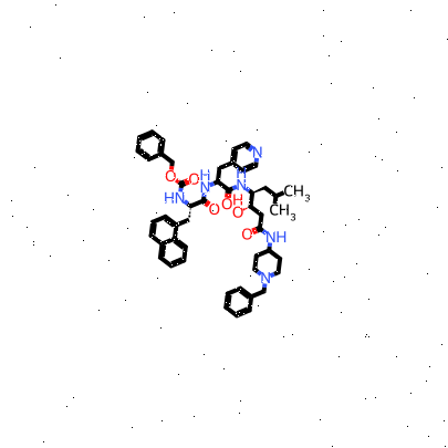 CC(C)C[C@H](NC(=O)C(Cc1ccncc1)NC(=O)[C@H](Cc1cccc2ccccc12)NC(=O)OCc1ccccc1)[C@@H](O)CC(=O)NC1CCN(Cc2ccccc2)CC1